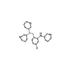 Fc1ccc(CC(c2cccnc2)c2cccnc2)c(Nc2cccnc2)c1